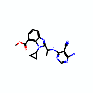 COC(=O)c1cccc2nc(C(C)Nc3ncnc(N)c3C#N)n(C3CC3)c12